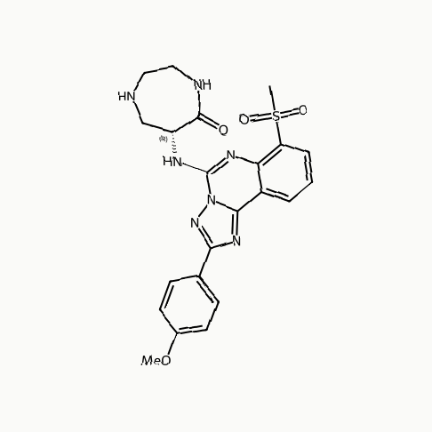 COc1ccc(-c2nc3c4cccc(S(C)(=O)=O)c4nc(N[C@@H]4CNCCNC4=O)n3n2)cc1